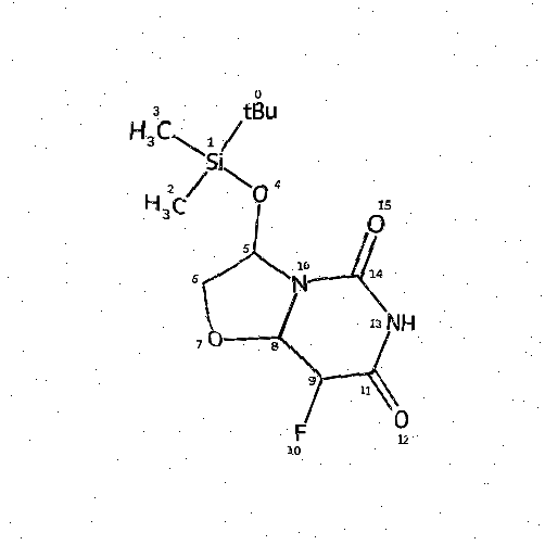 CC(C)(C)[Si](C)(C)OC1COC2C(F)C(=O)NC(=O)N12